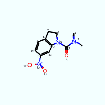 CN(C)C(=O)N1CCc2ccc([N+](=O)[O-])cc21